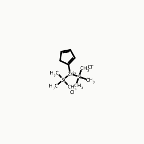 C[Si](C)(C)[Zr+2]([C]1=CC=CC1)[Si](C)(C)C.[Cl-].[Cl-]